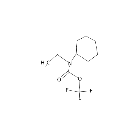 CCN(C(=O)OC(F)(F)F)C1CCCCC1